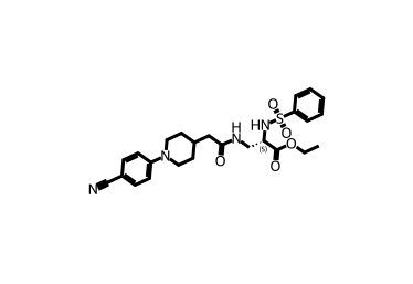 CCOC(=O)[C@H](CNC(=O)CC1CCN(c2ccc(C#N)cc2)CC1)NS(=O)(=O)c1ccccc1